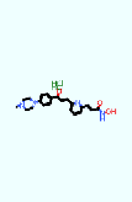 CN1CCN(c2ccc(C(=O)/C=C/c3cccc(/C=C/C(=O)NO)n3)cc2)CC1.Cl.Cl